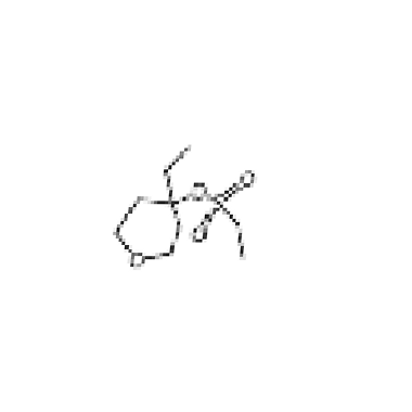 CCC1(OS(=O)(=O)CC)CCOCC1